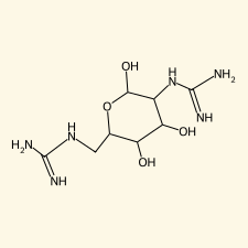 N=C(N)NCC1OC(O)C(NC(=N)N)C(O)C1O